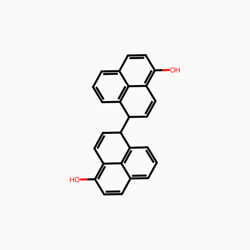 Oc1ccc2cccc3c2c1C=CC3C1C=Cc2c(O)ccc3cccc1c23